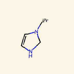 CC(C)N1C=CNC1